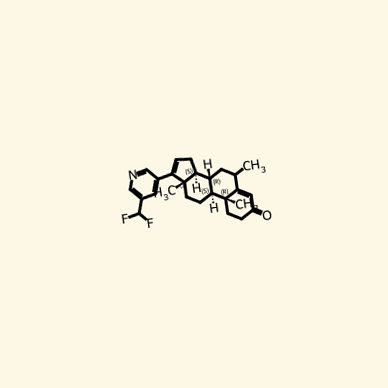 CC1C[C@@H]2[C@H](CC[C@]3(C)C(c4cncc(C(F)F)c4)=CC[C@@H]23)[C@@]2(C)CCC(=O)C=C12